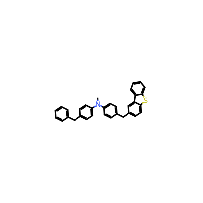 CN(c1ccc(Cc2ccccc2)cc1)c1ccc(Cc2ccc3sc4ccccc4c3c2)cc1